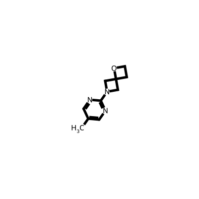 Cc1cnc(N2CC3(CCO3)C2)nc1